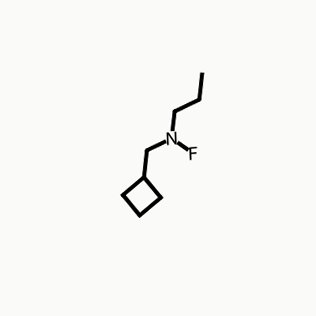 CCCN(F)CC1CCC1